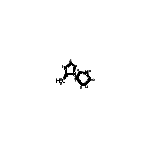 C=C1N=CC=N1.c1ccncc1